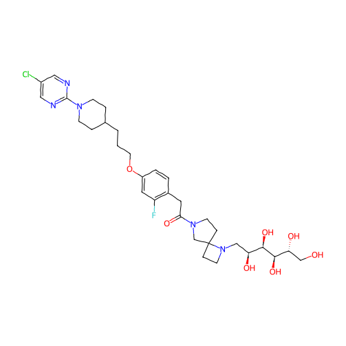 O=C(Cc1ccc(OCCCC2CCN(c3ncc(Cl)cn3)CC2)cc1F)N1CCC2(CCN2C[C@H](O)[C@@H](O)[C@H](O)[C@H](O)CO)C1